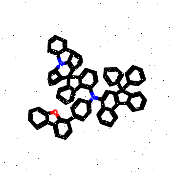 c1ccc(C2(c3ccccc3)c3ccccc3-c3c2cc(N(c2ccc(-c4cccc5c4oc4ccccc45)cc2)c2cccc4c2-c2ccccc2C42c4ccccc4-n4c5ccccc5c5cccc2c54)c2ccccc32)cc1